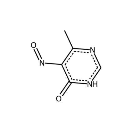 Cc1nc[nH]c(=O)c1N=O